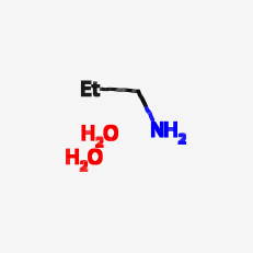 CCCN.O.O